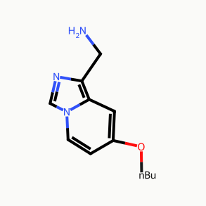 CCCCOc1ccn2cnc(CN)c2c1